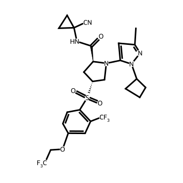 Cc1cc(N2C[C@H](S(=O)(=O)c3ccc(OCC(F)(F)F)cc3C(F)(F)F)C[C@H]2C(=O)NC2(C#N)CC2)n(C2CCC2)n1